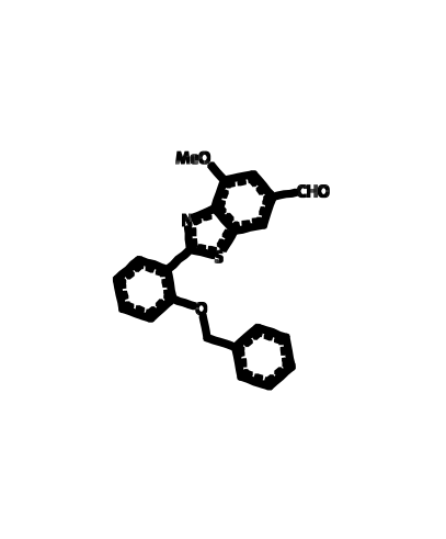 COc1cc(C=O)cc2sc(-c3ccccc3OCc3ccccc3)nc12